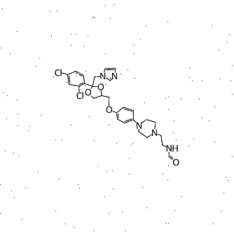 O=CNCCN1CCN(c2ccc(OCC3COC(Cn4ccnc4)(c4ccc(Cl)cc4Cl)O3)cc2)CC1